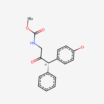 CC(C)(C)OC(=O)NCC(=O)[C@@H](c1ccccc1)c1ccc([O])cc1